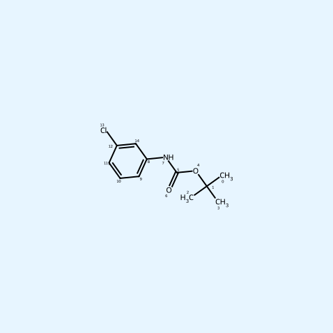 CC(C)(C)OC(=O)Nc1cc[c]c(Cl)c1